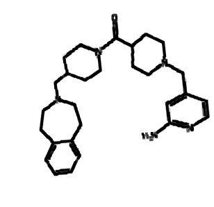 Nc1cc(CN2CCC(C(=O)N3CCC(CN4CCc5ccccc5CC4)CC3)CC2)ccn1